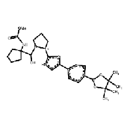 COC(=O)NC1(C(O)N2CCC[C@H]2c2nc(-c3ccc(B4OC(C)(C)C(C)(C)O4)cc3)c[nH]2)CCCC1